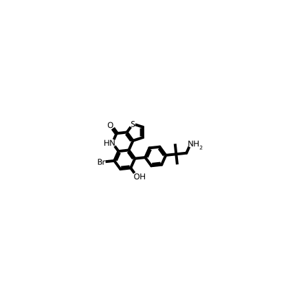 CC(C)(CN)c1ccc(-c2c(O)cc(Br)c3[nH]c(=O)c4sccc4c23)cc1